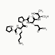 C[C@@H](O)[C@H](NC(=O)[C@H](CCC(N)=O)NC(=O)[C@@H]1CCCN1C(=O)[C@H](CCCCN)NC(=O)[C@@H]1CCCN1)C(=O)O